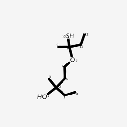 CCC(C)(O)CCOC(C)(S)CC